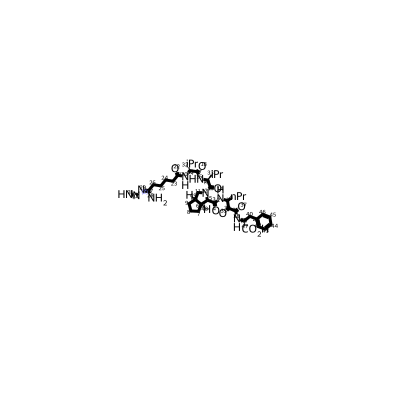 CCCC(NC(=O)C1[C@H]2CCC[C@H]2CN1C(=O)[C@@H](NC(=O)[C@H](NC(=O)CCCC/C(N)=N/N=N)C(C)C)C(C)C)C(=O)C(=O)N[C@H](Cc1ccccc1)C(=O)O